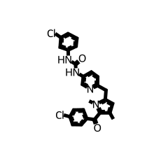 Cc1cc(Cc2ccc(NC(=O)Nc3cccc(Cl)c3)cn2)n(C)c1C(=O)c1ccc(Cl)cc1